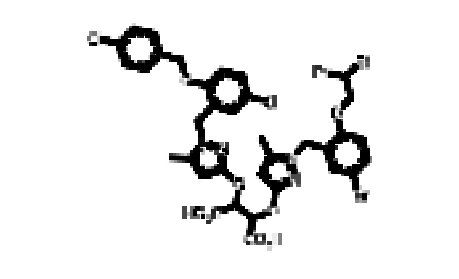 CCC(CC)COc1ccc(Br)cc1Cn1nc(OC(C(=O)O)C(Oc2cc(C)n(Cc3cc(Cl)ccc3OCc3ccc(Cl)cc3)n2)C(=O)O)cc1C